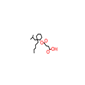 CCCCCC1(CC(C)C)CCCCC1OC(=O)CCC(=O)O